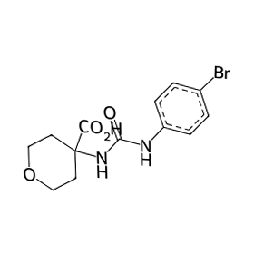 O=C(Nc1ccc(Br)cc1)NC1(C(=O)O)CCOCC1